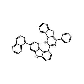 c1ccc(C2=C3Sc4ccccc4C3NC(c3cccc4oc5cc(-c6cccc7ccccc67)ccc5c34)=N2)cc1